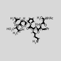 CC(=O)N[C@@H](C)C(=O)N[C@@H](CC(C)C)C(=O)N[C@@H](CCCCN)C(=O)N1CCC[C@H]1C(=O)N[C@@H](CC(N)=O)C(=O)N[C@H](C(=O)O)[C@@H](C)O